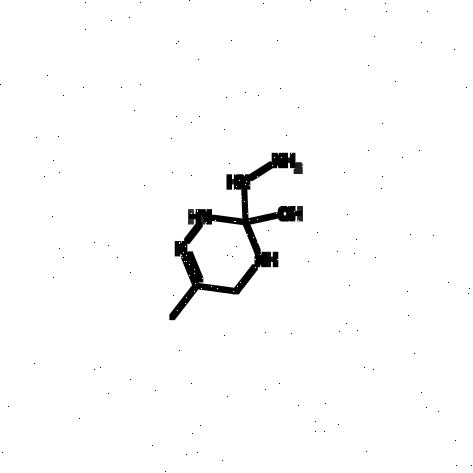 CC1=NNC(O)(NN)NC1